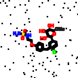 CO[C@H]1O[C@@H](C2C=C(Cc3ccc(OCCNS(N)(=O)=O)cc3)C(Cl)=CC2)[C@H](O)[C@@H](O)[C@@H]1O